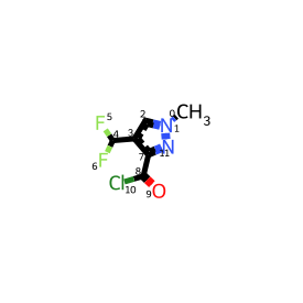 Cn1cc(C(F)F)c(C(=O)Cl)n1